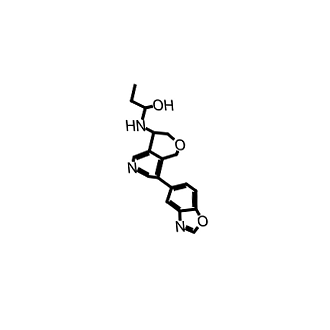 CCC(O)NC1COCc2c(-c3ccc4ocnc4c3)cncc21